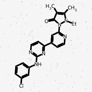 CCn1c(C)c(C)c(=O)n1-c1cc(-c2ccnc(Nc3cccc(Cl)c3)n2)ccn1